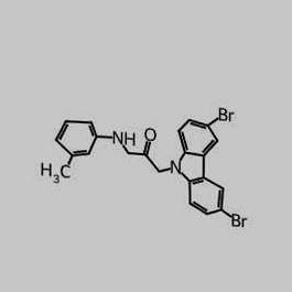 Cc1cccc(NCC(=O)Cn2c3ccc(Br)cc3c3cc(Br)ccc32)c1